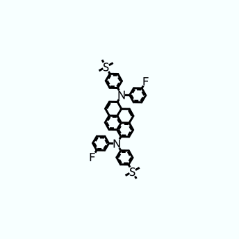 CS(C)(C)c1ccc(N(c2cccc(F)c2)c2ccc3c4c5c(ccc24)C=CC(N(c2ccc(S(C)(C)C)cc2)c2cccc(F)c2)C5C=C3)cc1